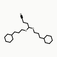 N#CCCC(OCCCC1CCCCC1)OCCCC1CCCCC1